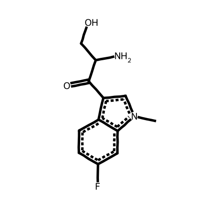 Cn1cc(C(=O)C(N)CO)c2ccc(F)cc21